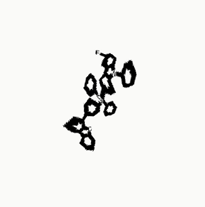 Fc1ccc2c(c1)c1cc([Si](c3ccccc3)(c3ccccc3)c3ccc(-c4cccc5c4oc4ccccc45)cc3)ccc1n2-c1ccccc1